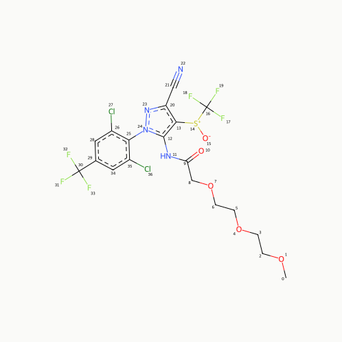 COCCOCCOCC(=O)Nc1c([S+]([O-])C(F)(F)F)c(C#N)nn1-c1c(Cl)cc(C(F)(F)F)cc1Cl